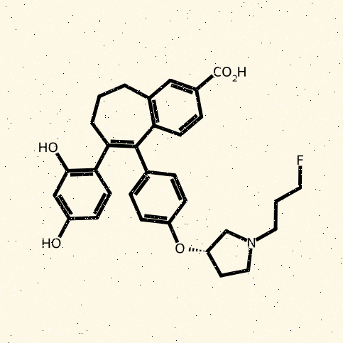 O=C(O)c1ccc2c(c1)CCCC(c1ccc(O)cc1O)=C2c1ccc(O[C@H]2CCN(CCCF)C2)cc1